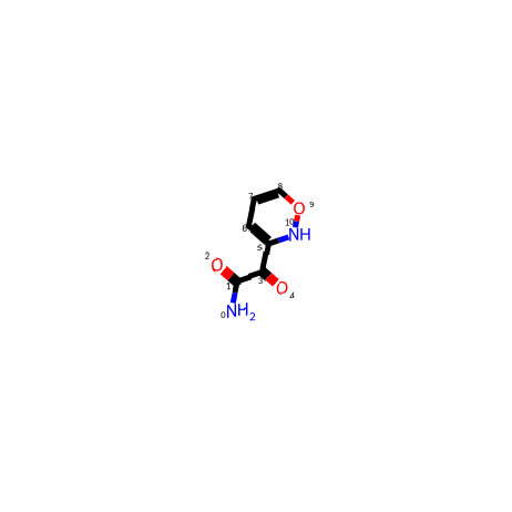 NC(=O)C(=O)C1=CC=CON1